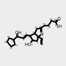 C=CC12CC(O)C(/C=C/C(O)C3CCCC3)C1CC(CCCC(=O)S)=N2